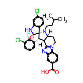 CC(C)CCN1[C@H]2CCn3c(nc4cc(C(=O)O)ccc43)[C@H]2[C@H](c2cccc(Cl)c2F)[C@]12C(=O)Nc1cc(Cl)ccc12